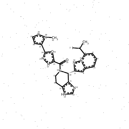 CC(I)c1cccc2cc([C@@H]3c4nc[nH]c4CCN3C(=O)c3nnc(-c4ccnn4C)o3)nn12